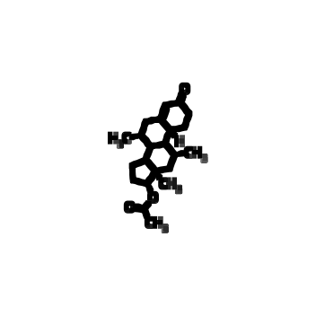 CC(=O)O[C@H]1CCC2C3C([C@@H](C)C[C@@]21C)[C@H]1CCC(=O)C=C1C[C@@H]3C